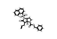 C=CCC1C(=O)N(S(=O)(=O)c2cccc3ccccc23)C2CCN(C(=O)OCc3ccccc3)[C@H]12